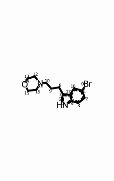 Brc1ccc2[nH]cc(CCCN3CCOCC3)c2c1